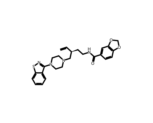 C=C[C@@H](CCNC(=O)c1ccc2c(c1)OCO2)CN1CCN(c2nsc3ccccc23)CC1